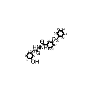 O=C(Cc1cccc(O)c1)NNC(=O)c1cccc(OCc2ccccc2)c1